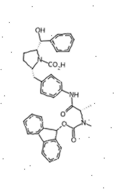 C[C@@H](C(=O)Nc1ccc(C[C@@H]2CC[C@H](C(O)c3ccccc3)N2C(=O)O)cc1)N(C)C(=O)OC1c2ccccc2-c2ccccc21